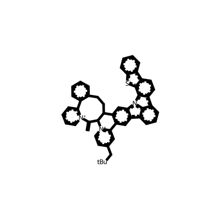 C=C1C2C(CCc3ccccc3-c3cccc[n+]31)c1cc3c(cc1-c1cc(CC(C)(C)C)cc[n+]12)c1cccc2c4ccc5c6ccccc6sc5c4n3c12